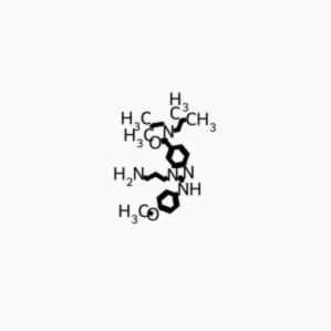 COc1ccc(Nc2nc3ccc(C(=O)N(CC(C)C)CC(C)C)cc3n2CCCN)cc1